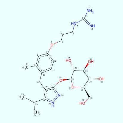 Cc1cc(OCCCNC(=N)N)ccc1Cc1c(O[C@@H]2O[C@H](CO)[C@@H](O)[C@H](O)[C@H]2O)n[nH]c1C(C)C